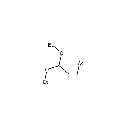 CC(C)=O.CCOC(C)OCC